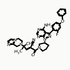 CC(C)(C=C(C#N)C(=O)N1CCC[C@H](n2nc(-c3ccc(Oc4ccccc4)cc3F)c3c(N)ncnc32)C1)N1CCn2ccnc2C1